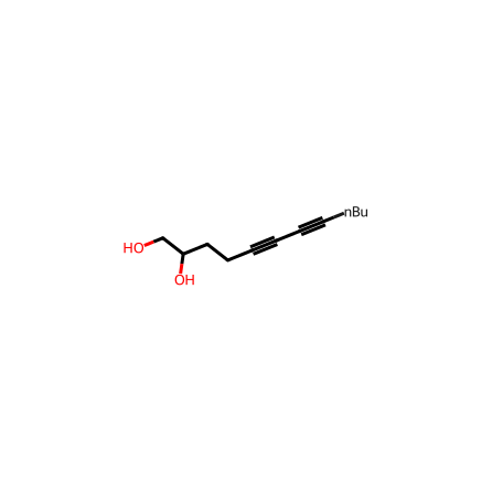 CCCCC#CC#CCCC(O)CO